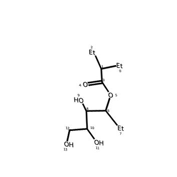 CCC(CC)C(=O)OC(CC)C(O)C(O)CO